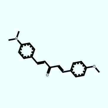 COc1ccc(C=CC(=O)C=Cc2ccc(N(C)C)cc2)cc1